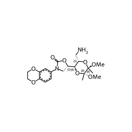 CO[C@]1(C)O[C@@H]([C@@H]2CN(c3ccc4c(c3)OCCO4)C(=O)O2)[C@H](CN)O[C@@]1(C)OC